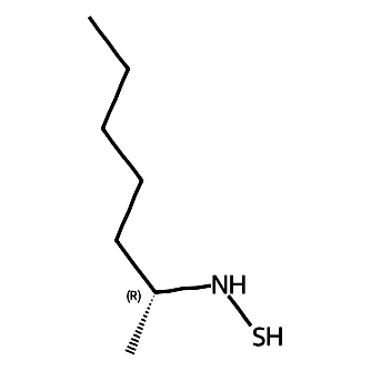 CCCCC[C@@H](C)NS